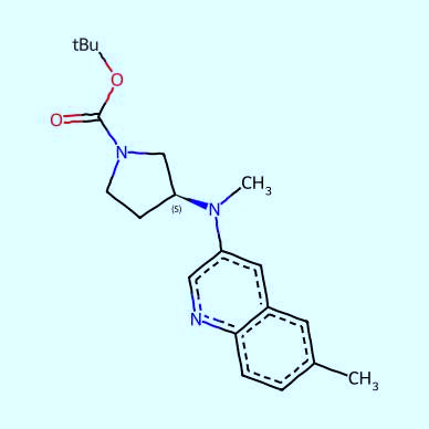 Cc1ccc2ncc(N(C)[C@H]3CCN(C(=O)OC(C)(C)C)C3)cc2c1